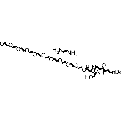 CCCCCCCCCCCCCC(=O)C(CN)NC(CO)OCCOCCOCCOCCOCCOCCOCCOCCOCCOCCOCCO.NCCN